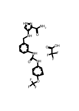 NC(=O)c1n[nH]cc1NCc1cccc(NC(=O)Nc2ccc(OC(F)(F)F)cc2)c1.O=C(O)C(F)(F)F